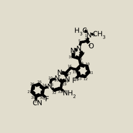 CN(C)C(=O)Cn1cc(-c2cccc(F)c2Cc2nc3n(n2)CN(c2cccc(C#N)c2F)C=C3N)cn1